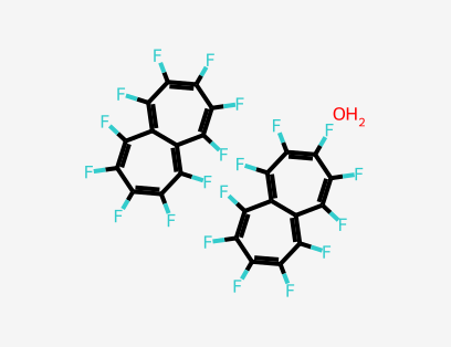 FC1=C(F)C(F)=C2C(F)=C(F)C(F)=C(F)C(F)=C2C(F)=C1F.FC1=C(F)C(F)=C2C(F)=C(F)C(F)=C(F)C(F)=C2C(F)=C1F.O